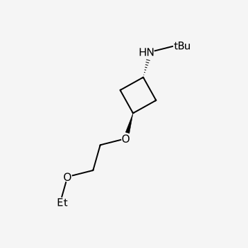 CCOCCO[C@H]1C[C@H](NC(C)(C)C)C1